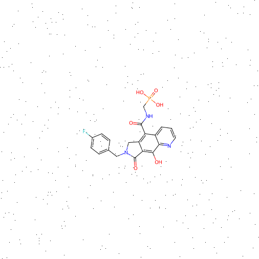 O=C(NCP(=O)(O)O)c1c2c(c(O)c3ncccc13)C(=O)N(Cc1ccc(F)cc1)C2